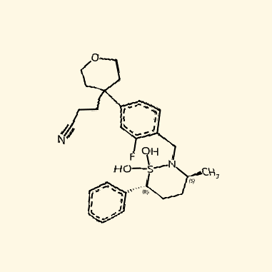 C[C@H]1CC[C@H](c2ccccc2)S(O)(O)N1Cc1ccc(C2(CCC#N)CCOCC2)cc1F